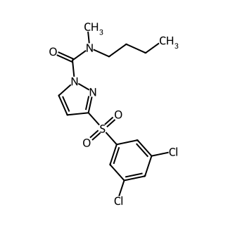 CCCCN(C)C(=O)n1ccc(S(=O)(=O)c2cc(Cl)cc(Cl)c2)n1